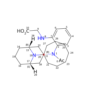 CC(=O)N(c1ccccc1NCC(=O)O)[C@H]1C[C@H]2CCC[C@@H](C1)N2C1CCCCCCC1